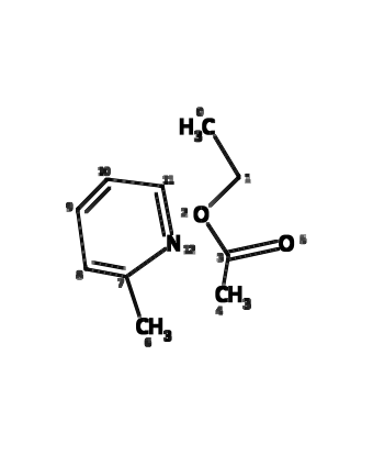 CCOC(C)=O.Cc1ccccn1